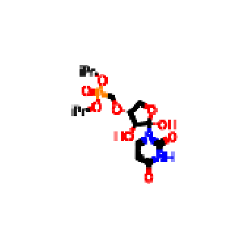 CC(C)OP(=O)(CO[C@@H]1CO[C@@](O)(n2ccc(=O)[nH]c2=O)[C@H]1O)OC(C)C